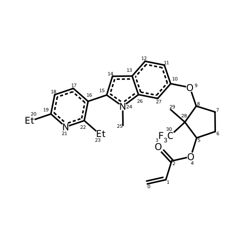 C=CC(=O)OC1CCC(Oc2ccc3cc(-c4ccc(CC)nc4CC)n(C)c3c2)C1(C)C(F)(F)F